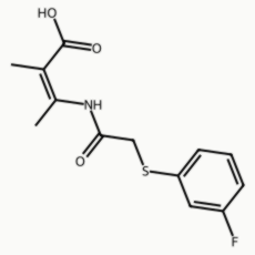 C/C(NC(=O)CSc1cccc(F)c1)=C(\C)C(=O)O